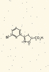 O=C(O)C1CC(c2cccc(Br)c2)=NO1